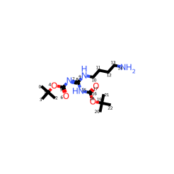 CC(C)(C)OC(=O)N=C(NCCCCN)NC(=O)OC(C)(C)C